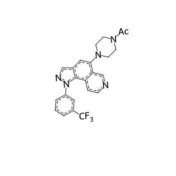 CC(=O)N1CCN(c2cc3cnn(-c4cccc(C(F)(F)F)c4)c3c3ccncc23)CC1